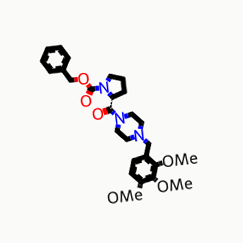 COc1ccc(CN2CCN(C(=O)[C@H]3CCCN3C(=O)OCc3ccccc3)CC2)c(OC)c1OC